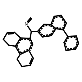 C=NC(c1ccc2c(-c3ccccc3)cccc2c1)c1cc2c(c3c1C=CCC3)CCC=C2